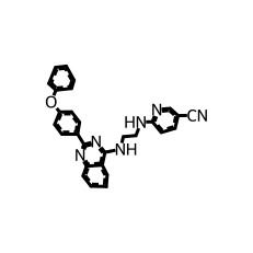 N#Cc1ccc(NCCNc2nc(-c3ccc(Oc4ccccc4)cc3)nc3ccccc23)nc1